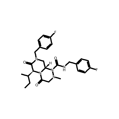 CCC(C)[C@H]1C(=O)N(Cc2ccc(F)cc2)C[C@H]2N1C(=O)CN(C)N2C(=O)NCc1ccc(F)cc1